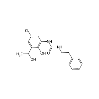 CC(O)c1cc(Cl)cc(NC(=O)NCCc2ccccc2)c1O